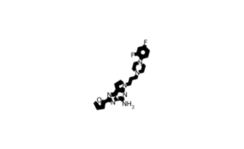 Nc1nc2c(ccn2CCCN2CCN(c3ccc(F)cc3F)CC2)c2nc(-c3ccco3)nn12